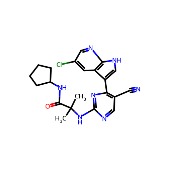 CC(C)(Nc1ncc(C#N)c(-c2c[nH]c3ncc(Cl)cc23)n1)C(=O)NC1CCCC1